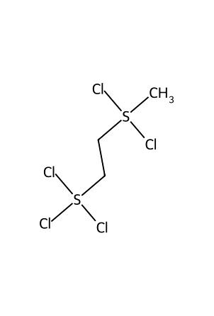 CS(Cl)(Cl)CCS(Cl)(Cl)Cl